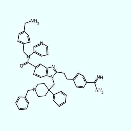 N=C(N)c1ccc(CCc2nc3cc(C(=O)N(Cc4ccc(CN)cc4)c4cccnc4)ccc3n2CC2(c3ccccc3)CCN(Cc3ccccc3)CC2)cc1